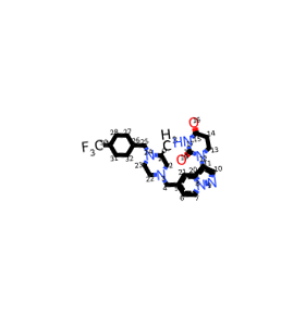 C[C@H]1CN(Cc2ccn3ncc(N4CCC(=O)NC4=O)c3c2)CCN1CC1CCC(C(F)(F)F)CC1